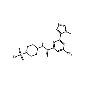 CCS(=O)(=O)N1CCC(NC(=O)c2cc(C(F)(F)F)nc(-c3cncn3C)n2)CC1